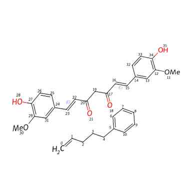 C=CCCCc1ccccc1.COc1cc(/C=C/C(=O)CC(=O)/C=C/c2ccc(O)c(OC)c2)ccc1O